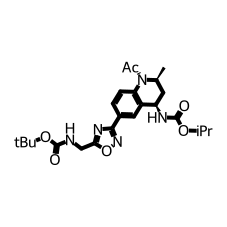 CC(=O)N1c2ccc(-c3noc(CNC(=O)OC(C)(C)C)n3)cc2[C@H](NC(=O)OC(C)C)C[C@@H]1C